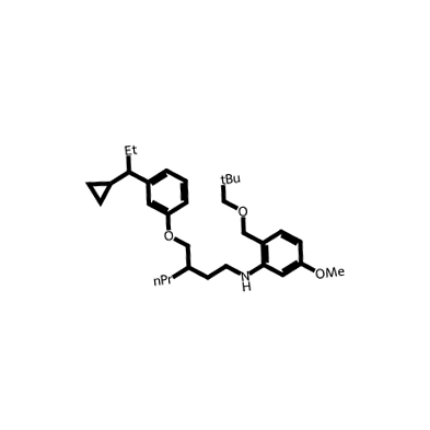 CCCC(CCNc1cc(OC)ccc1COCC(C)(C)C)COc1cccc(C(CC)C2CC2)c1